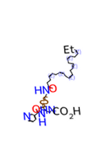 CC/C=C\C/C=C\C/C=C\C/C=C\C/C=C\C/C=C\CCC(=O)NCCSSC(C)(C)C(CNC(=O)O)NC(=O)c1cccnc1